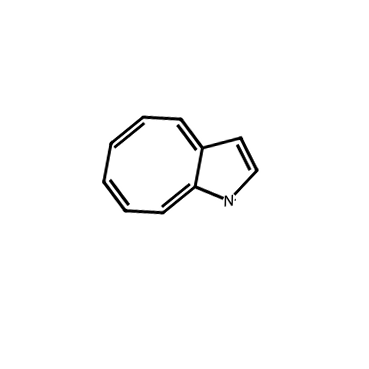 C1=CC2=C/C=C\C=C/C=C\2[N]1